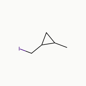 CC1CC1CI